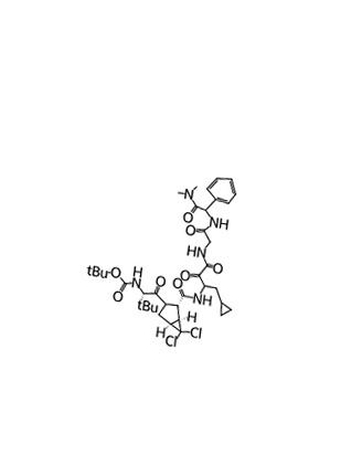 CN(C)C(=O)C(NC(=O)CNC(=O)C(=O)C(CC1CC1)NC(=O)[C@H]1C(C(=O)[C@@H](NC(=O)OC(C)(C)C)C(C)(C)C)C[C@H]2[C@@H]1C2(Cl)Cl)c1ccccc1